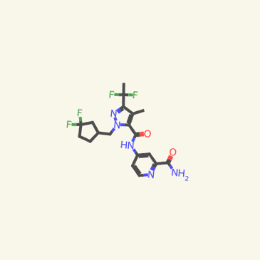 Cc1c(C(C)(F)F)nn(CC2CCC(F)(F)C2)c1C(=O)Nc1ccnc(C(N)=O)c1